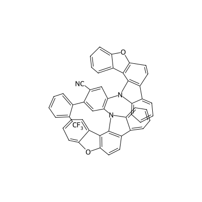 N#Cc1cc(-n2c3ccccc3c3ccc4oc5ccccc5c4c32)c(-n2c3ccccc3c3ccc4oc5ccccc5c4c32)cc1-c1ccccc1C(F)(F)F